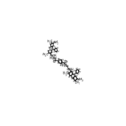 CC1=CC2=Nc3cc(C)c(N)cc3N(c3ccccc3)C2C=C1NCCNC(=O)c1ccc(C(=O)NCCNc2cc3c(cc2C)nc2cc(C)c(N)cc2[n+]3-c2ccccc2)cn1